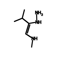 CN/C=C(\NN)C(C)C